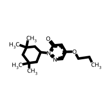 CCCOc1cnn(C2CC(C)(C)CC(C)(C)C2)c(=O)c1